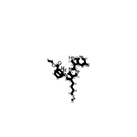 CCOC(=O)[C@@H]1C2CCC(CC2)[C@H]1n1cc(CCCCSC)c2cnc(-c3c[nH]c4ncc(F)cc34)nc21